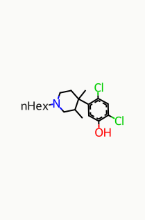 CCCCCCN1CCC(C)(c2cc(O)c(Cl)cc2Cl)C(C)C1